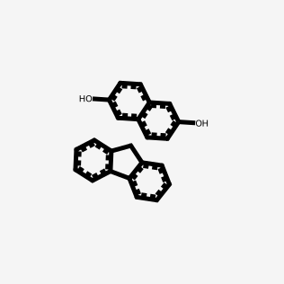 Oc1ccc2cc(O)ccc2c1.c1ccc2c(c1)Cc1ccccc1-2